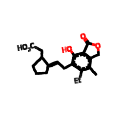 CCc1c(C)c2c(c(O)c1C/C=C1\CCCC1CC(=O)O)C(=O)OC2